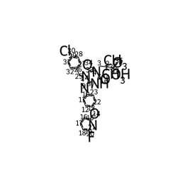 CC(C)(Cn1c(=O)[nH]/c(=N\c2ccc(Oc3cccc(F)n3)cc2)n(Cc2ccc(Cl)cc2)c1=O)C(=O)O